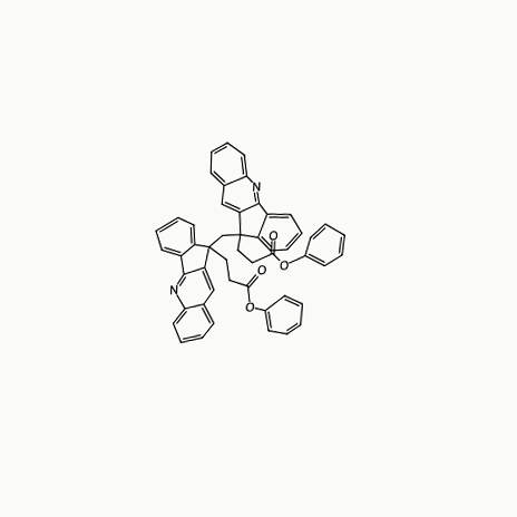 O=C(CCC1(CC2(CCC(=O)Oc3ccccc3)c3ccccc3-c3nc4ccccc4cc32)c2ccccc2-c2nc3ccccc3cc21)Oc1ccccc1